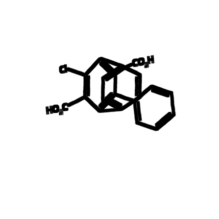 O=C(O)c1c(Cl)c2c(C(=O)O)c(-c3ccccc3)c1-c1ccc-2cc1